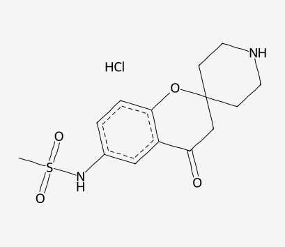 CS(=O)(=O)Nc1ccc2c(c1)C(=O)CC1(CCNCC1)O2.Cl